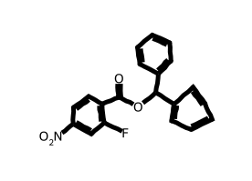 O=C(OC(c1ccccc1)c1ccccc1)c1ccc([N+](=O)[O-])cc1F